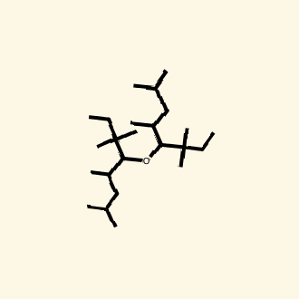 CCC(C)(C)C(OC(C(C)CC(C)C)C(C)(C)CC)C(C)CC(C)C